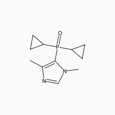 Cc1ncn(C)c1P(=O)(C1CC1)C1CC1